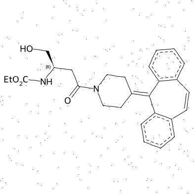 CCOC(=O)N[C@@H](CO)CC(=O)N1CCC(=C2c3ccccc3C=Cc3ccccc32)CC1